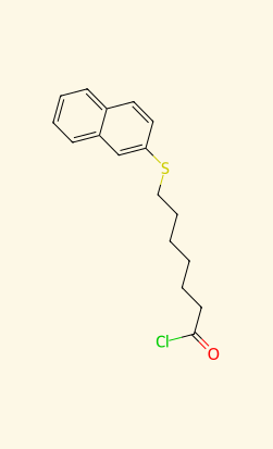 O=C(Cl)CCCCCCSc1ccc2ccccc2c1